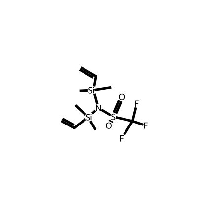 C=C[Si](C)(C)N([Si](C)(C)C=C)S(=O)(=O)C(F)(F)F